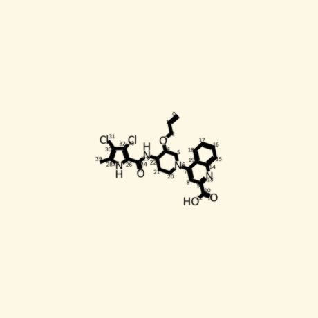 C=CCOC1CN(c2cc(C(=O)O)nc3ccccc23)CCC1NC(=O)c1[nH]c(C)c(Cl)c1Cl